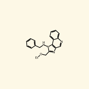 CCOCc1nc2cnc3ccccc3c2n1NCc1ccccc1